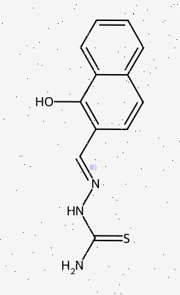 NC(=S)N/N=C/c1ccc2ccccc2c1O